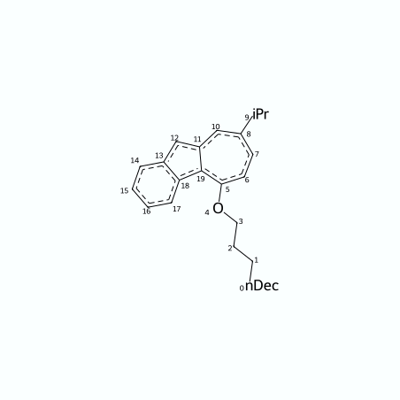 CCCCCCCCCCCCCOc1ccc(C(C)C)cc2cc3ccccc3c1-2